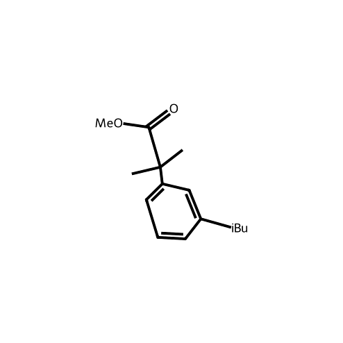 CCC(C)c1cccc(C(C)(C)C(=O)OC)c1